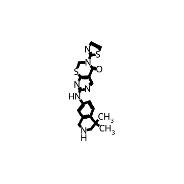 CC1(C)CNCc2cc(Nc3ncc4c(n3)SCN(c3nccs3)C4=O)ccc21